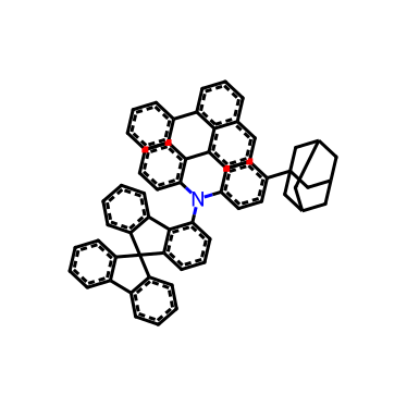 c1ccc(-c2cccc3cccc(-c4ccccc4N(c4ccc(C56CC7CC(CC(C7)C5)C6)cc4)c4cccc5c4-c4ccccc4C54c5ccccc5-c5ccccc54)c23)cc1